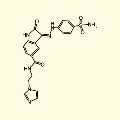 NS(=O)(=O)c1ccc(NN=C2C(=O)Nc3ccc(C(=O)NCCn4ccnc4)cc32)cc1